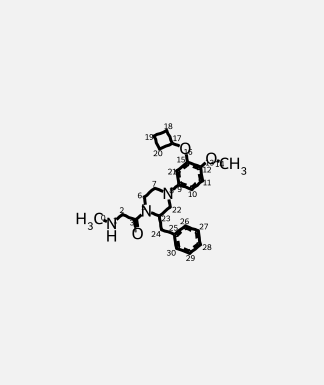 CNCC(=O)N1CCN(c2ccc(OC)c(OC3CCC3)c2)CC1Cc1ccccc1